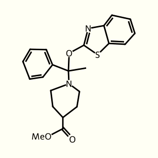 COC(=O)C1CCN(C(C)(Oc2nc3ccccc3s2)c2ccccc2)CC1